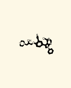 N#Cc1cc(-c2cn(-c3ccccc3)c3ncnc(Cl)c23)ccc1OCC(O)CN1CCOCC1